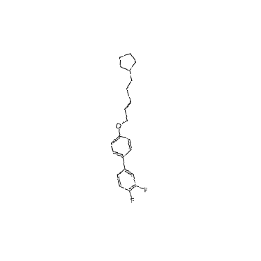 Fc1ccc(-c2ccc(OCCCCCC3CCCC3)cc2)cc1F